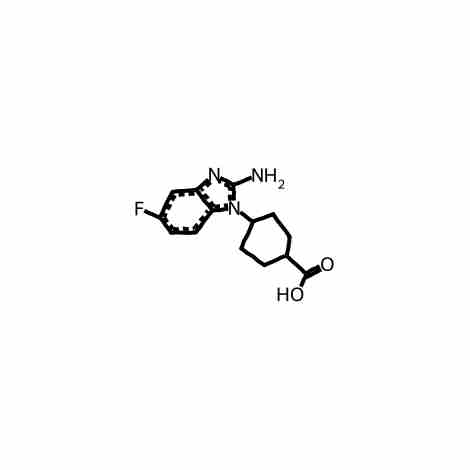 Nc1nc2cc(F)ccc2n1C1CCC(C(=O)O)CC1